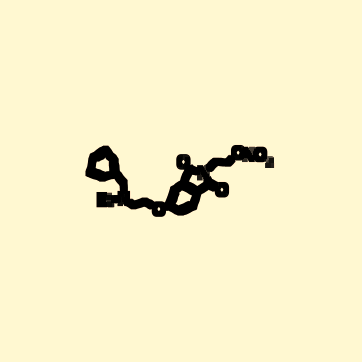 CCN(CCOc1ccc2c(c1)C(=O)N(CCO[N+](=O)[O-])C2=O)Cc1ccccc1